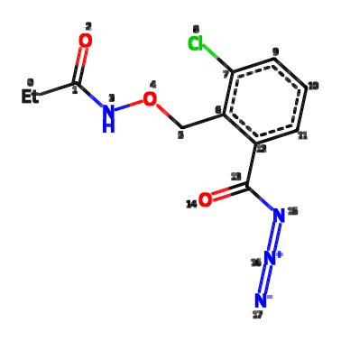 CCC(=O)NOCc1c(Cl)cccc1C(=O)N=[N+]=[N-]